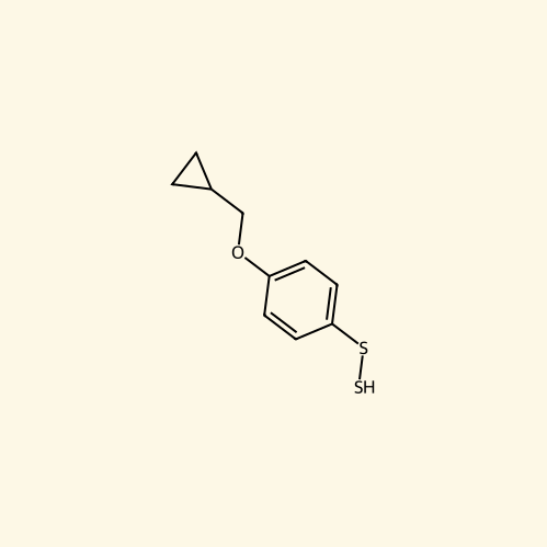 SSc1ccc(OCC2CC2)cc1